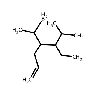 BC(C)C(CC=C)C(CC)C(C)C